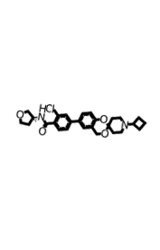 O=C(N[C@@H]1CCOC1)c1ccc(-c2ccc3c(c2)COC2(CCN(C4CCC4)CC2)O3)cc1Cl